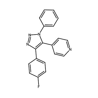 Fc1ccc(-c2nnn(-c3ccccc3)c2-c2ccncc2)cc1